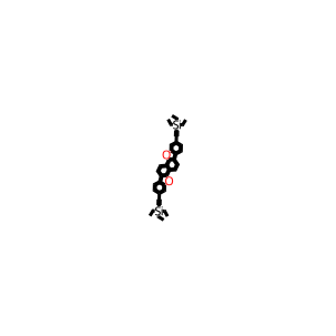 CC[Si](C#Cc1ccc2c(c1)oc1c2ccc2c1ccc1c3ccc(C#C[Si](CC)(CC)CC)cc3oc12)(CC)CC